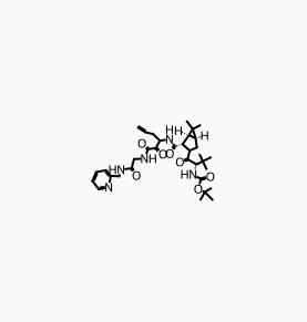 C=CCC(NC(=O)[C@H]1C(C(=O)[C@@H](NC(=O)OC(C)(C)C)C(C)(C)C)C[C@H]2[C@@H]1C2(C)C)C(=O)C(=O)NCC(=O)NCc1ccccn1